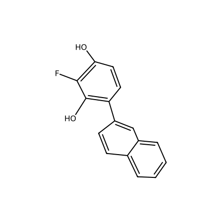 Oc1ccc(-c2ccc3ccccc3c2)c(O)c1F